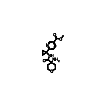 COC(=O)c1ccc(C2(NC(=O)C3(N)CCOCC3)CC2)nc1